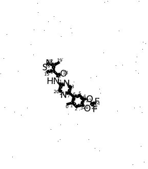 Cc1cc2c(cc1-c1cnc(NC(=O)c3csnc3C)cn1)OC(F)(F)O2